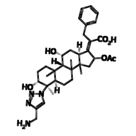 CC(=O)OC1CC2(C)[C@@H](C[C@@H](O)[C@H]3C4(C)CC[C@@H](O)[C@](C)(n5cc(CN)nn5)[C@@H]4CCC32C)/C1=C(\Cc1ccccc1)C(=O)O